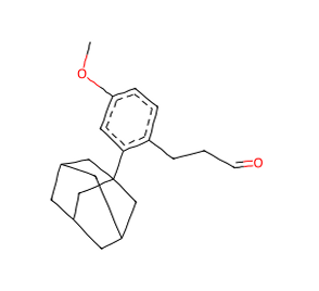 COc1ccc(CCC=O)c(C23CC4CC(CC(C4)C2)C3)c1